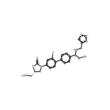 CC(=O)NC[C@H]1CN(c2ccc(-c3ccc(C(CO)NCc4csnn4)cc3)c(F)c2)C(=O)O1